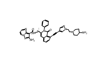 C[C@@H](NC(=O)c1c(N)nn2cccnc12)c1cc2cccc(C#Cc3cnn(CCN4CCC(N)CC4)c3)c2c(=O)n1-c1ccccc1